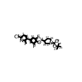 Cc1nc(Cl)ccc1-c1cc(F)c(OCC2CCN(C(=O)OC(C)(C)C)CC2)c(F)c1